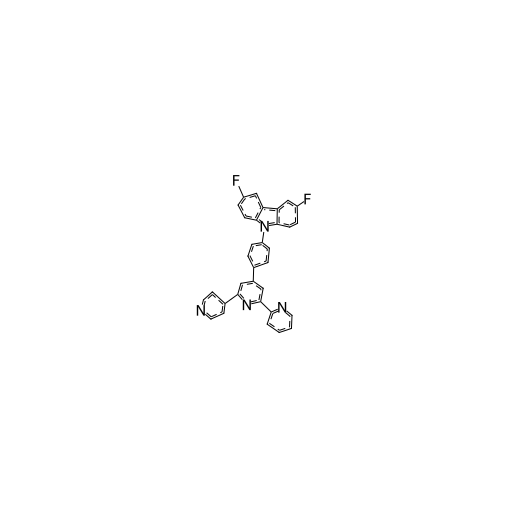 Fc1ccc2c(c1)c1cc(F)ccc1n2-c1ccc(-c2cc(-c3ccncc3)nc(-c3ccccn3)c2)cc1